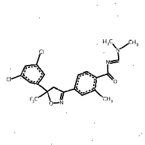 Cc1cc(C2=NOC(c3cc(Cl)cc(Cl)c3)(C(F)(F)F)C2)ccc1C(=O)/N=C/N(C)C